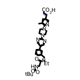 CCN(Cc1cccc(-c2cnc(N3CCN(c4ncc(/C=C/C(=O)O)cc4C)CC3)nc2)c1)C(=O)CNC(=O)OC(C)(C)C